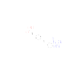 O=C(O)C=Cc1ccc(C=Cc2cccc(NC3=NCCN3)c2)cc1